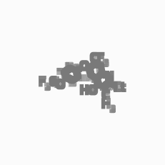 CCc1nc2cc(C(F)(F)F)c(Oc3ccc(OC(F)(F)F)cc3)cc2c(O)c1C